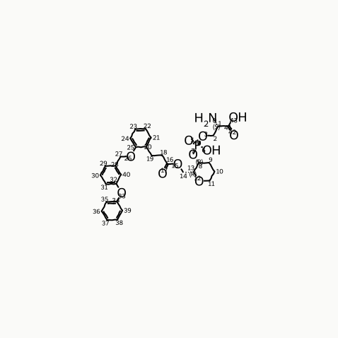 N[C@@H](COP(=O)(O)O[C@@H]1CCCO[C@@H]1COC(=O)CCc1ccccc1OCc1cccc(Oc2ccccc2)c1)C(=O)O